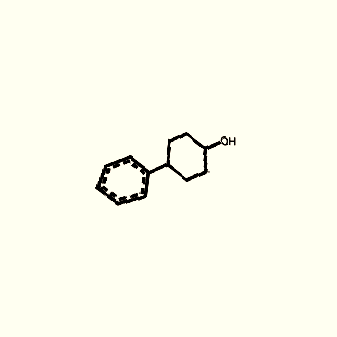 OC1[CH]CC(c2ccccc2)CC1